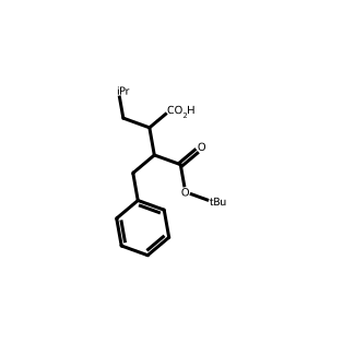 CC(C)CC(C(=O)O)C(Cc1ccccc1)C(=O)OC(C)(C)C